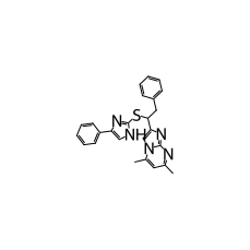 Cc1cc(C)n2cc(C(Cc3ccccc3)Sc3nc(-c4ccccc4)c[nH]3)nc2n1